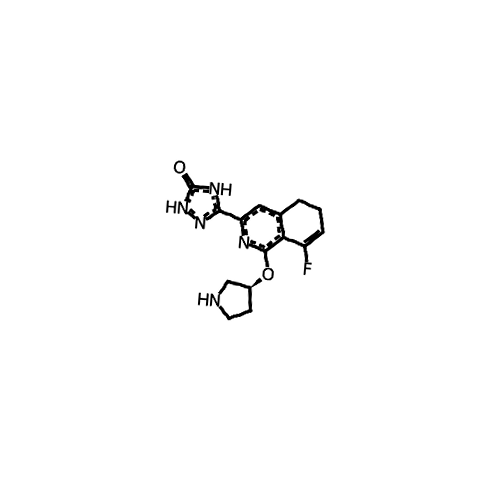 O=c1[nH]nc(-c2cc3c(c(O[C@H]4CCNC4)n2)C(F)=CCC3)[nH]1